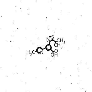 Cc1ccc(-c2cc(C(=O)O)cc(-c3ncsc3C(C)C)c2)nc1